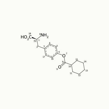 N[C@@H](Cc1ccc(OC(=O)C2CCCCC2)cc1)C(=O)O